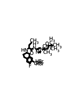 Br.Br.CCCC(NC1CCc2cc(F)c(Cl)cc2C1)C(=O)Nc1cn(C(C)(C)CC(=O)C(C)(C)C)cn1